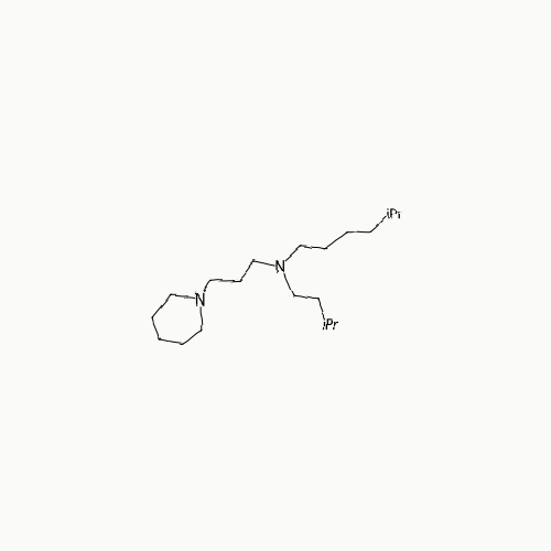 CC(C)CCCCN(CCCN1CCCCC1)CCC(C)C